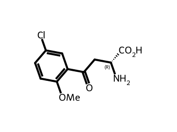 COc1ccc(Cl)cc1C(=O)C[C@@H](N)C(=O)O